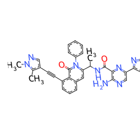 Cc1c(C#Cc2cccc3cc(C(C)NC(=O)c4nc(-c5cscn5)cnc4N)n(-c4ccccc4)c(=O)c23)cnn1C